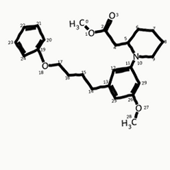 COC(=O)CC1CCCCN1c1cc(CCCCOc2ccccc2)cc(OC)c1